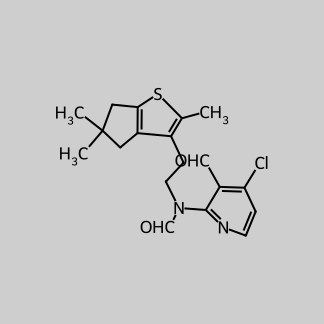 Cc1sc2c(c1CCN(C=O)c1nccc(Cl)c1C=O)CC(C)(C)C2